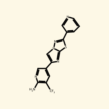 Nc1ncc(-c2cn3nc(-c4cccnc4)sc3n2)cc1C(F)(F)F